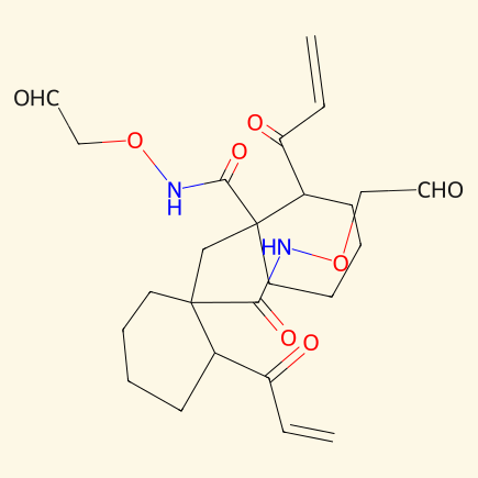 C=CC(=O)C1CCCCC1(CC1(C(=O)NOCC=O)CCCCC1C(=O)C=C)C(=O)NOCC=O